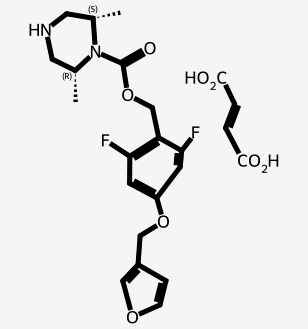 C[C@@H]1CNC[C@H](C)N1C(=O)OCc1c(F)cc(OCc2ccoc2)cc1F.O=C(O)C=CC(=O)O